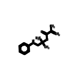 C=C(C)C(=O)OC(C)(C)CNc1ccccc1